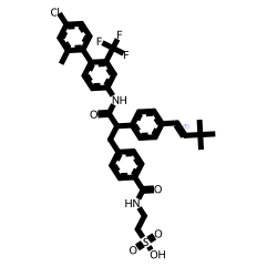 Cc1cc(Cl)ccc1-c1ccc(NC(=O)C(Cc2ccc(C(=O)NCCS(=O)(=O)O)cc2)c2ccc(/C=C/C(C)(C)C)cc2)cc1C(F)(F)F